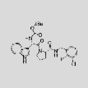 CC(C)(C)OC(=O)NC(C(=O)N1CCC[C@H]1C(=O)NCc1cccc(Cl)c1F)c1c[nH]c2ccccc12